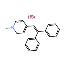 Br.CN1C=CC(C=C(c2ccccc2)c2ccccc2)=CC1